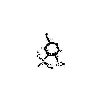 Cc1ccc(C(C)(C)C)c(S(C)(=O)=O)c1